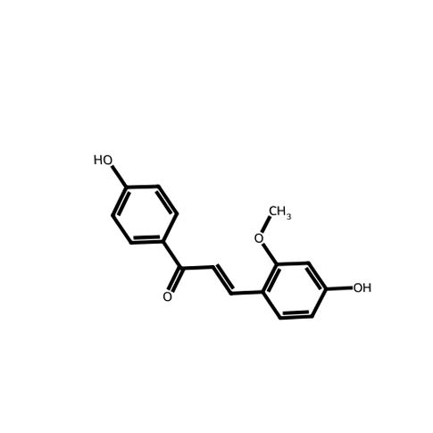 COc1cc(O)ccc1C=CC(=O)c1ccc(O)cc1